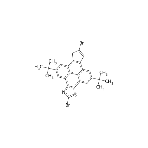 CC(C)(C)c1cc2c3c(c4cc(C(C)(C)C)cc5c6sc(Br)nc6c(c1)c2c45)C=C(Br)C3